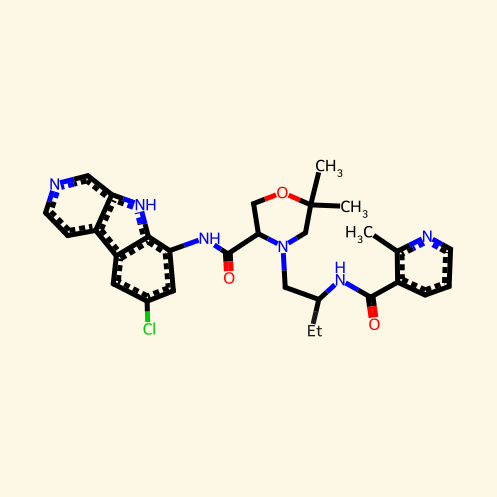 CCC(CN1CC(C)(C)OCC1C(=O)Nc1cc(Cl)cc2c1[nH]c1cnccc12)NC(=O)c1cccnc1C